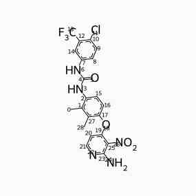 Cc1c(NC(=O)Nc2ccc(Cl)c(C(F)(F)F)c2)ccc(Oc2ccnc(N)c2[N+](=O)[O-])c1C